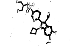 COc1cc2c(cc1F)c(C#N)c(-c1ccc(S(=O)(=O)NC(CF)CF)cn1)n2C1CCC1